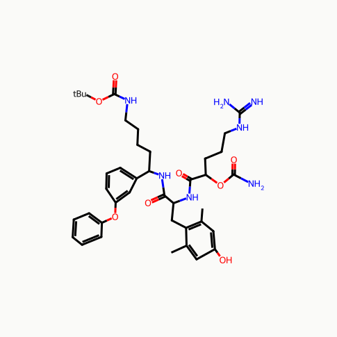 Cc1cc(O)cc(C)c1CC(NC(=O)C(CCCNC(=N)N)OC(N)=O)C(=O)NC(CCCCNC(=O)OC(C)(C)C)c1cccc(Oc2ccccc2)c1